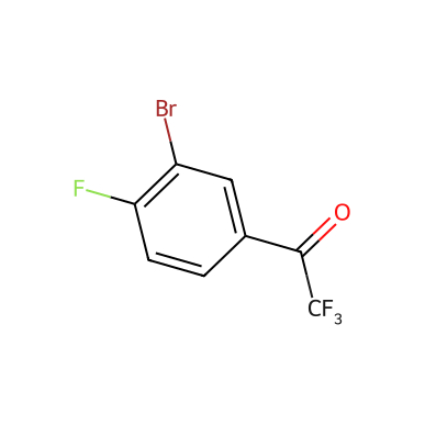 O=C(c1ccc(F)c(Br)c1)C(F)(F)F